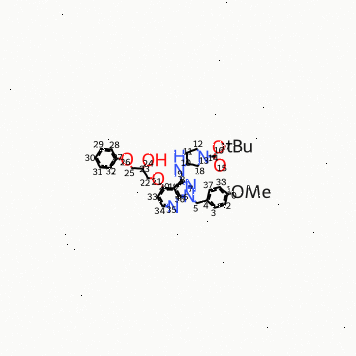 COc1ccc(Cn2nc(NC3CCN(C(=O)OC(C)(C)C)C3)c3c(OCC(O)COc4ccccc4)ccnc32)cc1